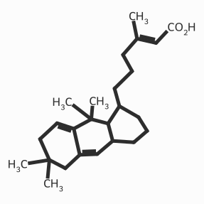 CC(=CC(=O)O)CCCC1CCCC2C=C3CC(C)(C)CC=C3C(C)(C)C21